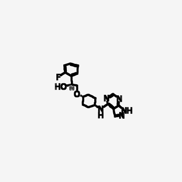 O[C@H](CO[C@H]1CC[C@H](Nc2ncnc3[nH]ncc23)CC1)c1ccccc1F